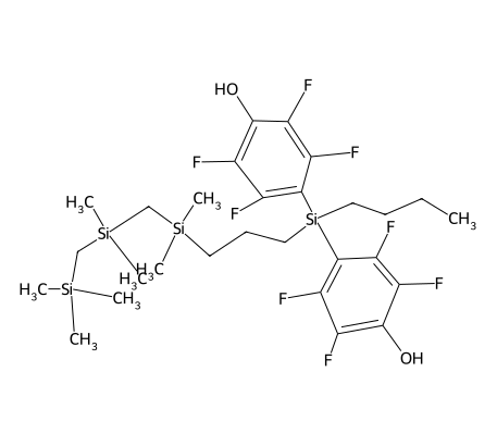 CCCC[Si](CCC[Si](C)(C)C[Si](C)(C)C[Si](C)(C)C)(c1c(F)c(F)c(O)c(F)c1F)c1c(F)c(F)c(O)c(F)c1F